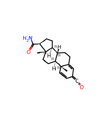 C[C@]12C=CC(=C=O)C=C1CC[C@@H]1[C@@H]2CC[C@]2(C)C(C(N)=O)CC[C@@H]12